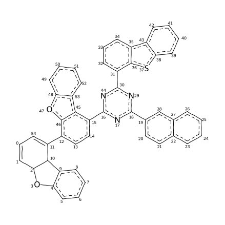 C1=CC2Oc3ccccc3C2C(c2ccc(-c3nc(-c4ccc5ccccc5c4)nc(-c4cccc5c4sc4ccccc45)n3)c3c2oc2ccccc23)=C1